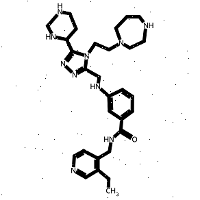 CCc1cnccc1CNC(=O)c1cccc(NCc2nnc(C3CCNCN3)n2CCN2CCCNCC2)c1